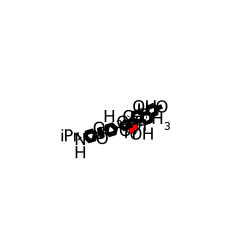 CC(C)Nc1ccc(S(=O)(=O)c2ccc([C@@H]3O[C@@H]4C[C@H]5[C@@H]6CCC7=CC(=O)C=C[C@]7(C)[C@H]6[C@@H](O)C[C@]5(C)[C@]4(C(=O)CO)O3)cc2)cc1